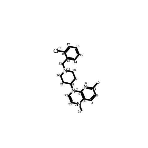 Cc1ccc2c(n1)N(C1CCN(Cc3ccccc3Cl)CC1)C=CN2C